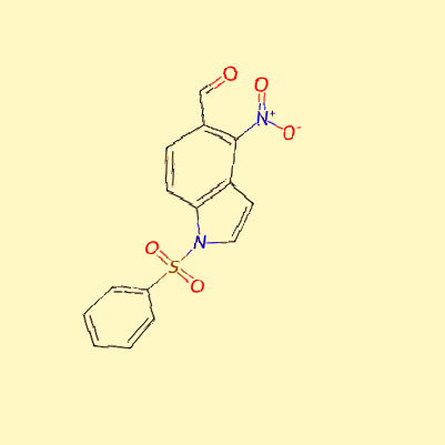 O=Cc1ccc2c(ccn2S(=O)(=O)c2ccccc2)c1[N+](=O)[O-]